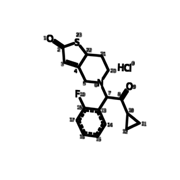 Cl.O=C1C=C2CN(C(C(=O)C3CC3)c3ccccc3F)CCC2S1